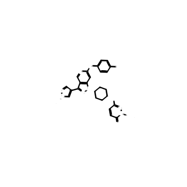 Cn1cc(-c2nn([C@H]3CC[C@@H](Oc4ccc(=O)n(C)n4)CC3)c3cc(Nc4ccc(F)cc4)ncc23)cn1